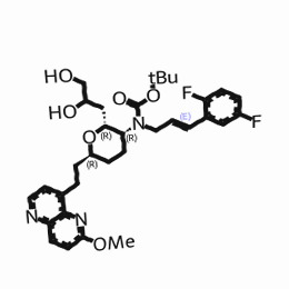 COc1ccc2nccc(CC[C@@H]3CC[C@@H](N(C/C=C/c4cc(F)ccc4F)C(=O)OC(C)(C)C)[C@@H](CC(O)CO)O3)c2n1